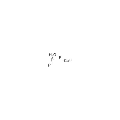 O.[F-].[F-].[F-].[Ga+3]